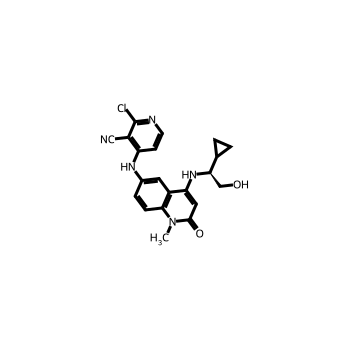 Cn1c(=O)cc(N[C@H](CO)C2CC2)c2cc(Nc3ccnc(Cl)c3C#N)ccc21